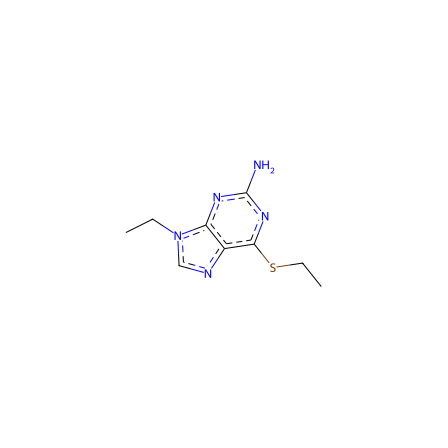 CCSc1nc(N)nc2c1ncn2CC